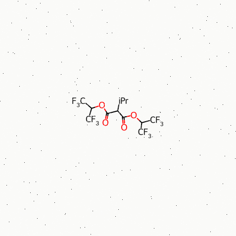 CC(C)C(C(=O)OC(C(F)(F)F)C(F)(F)F)C(=O)OC(C(F)(F)F)C(F)(F)F